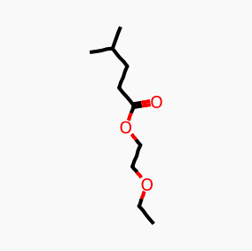 CCOCCOC(=O)CCC(C)C